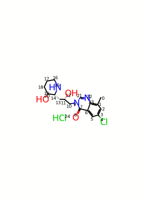 Cc1cc(Cl)cc2c(=O)n(C[C@@H](O)C[C@H]3NCCC[C@@H]3O)cnc12.Cl